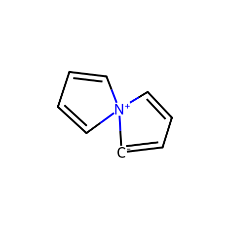 [C-]1=CC=C[N+]12C=CC=C2